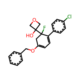 OC1(C2(F)CC(OCc3ccccc3)=CC=C2c2ccc(Cl)cc2)COC1